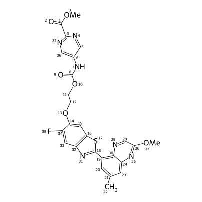 COC(=O)c1ncc(NC(=O)OCCOc2cc3sc(-c4cc(C)cc5nc(OC)cnc45)nc3cc2F)cn1